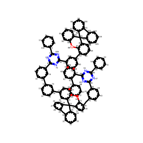 c1ccc(-c2nc(-c3cccc(-c4cccc(-c5ccc6c(c5)C5(c7ccccc7-c7ccccc75)c5cccc(-c7cccc(-c8nc(-c9ccccc9)nc(-c9ccccc9-c9ccccc9)n8)c7)c5O6)c4)c3)nc(-c3cccc(-c4cccc5c4Oc4ccccc4C54c5ccccc5-c5ccccc54)c3)n2)cc1